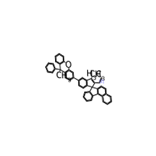 C/C=C\C1=C(C)c2cc(-c3ccc4c(c3)Oc3ccccc3C4(C)c3ccccc3)ccc2C12c1ccccc1-c1c2ccc2ccccc12